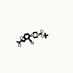 CC(=O)c1cc2c(C#N)c(N3CCN(C(=O)OC(C)(C)C)CC3)ccc2o1